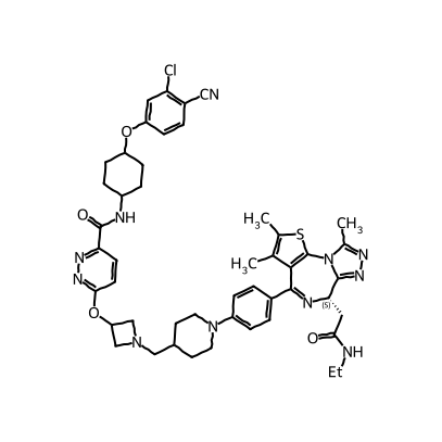 CCNC(=O)C[C@@H]1N=C(c2ccc(N3CCC(CN4CC(Oc5ccc(C(=O)NC6CCC(Oc7ccc(C#N)c(Cl)c7)CC6)nn5)C4)CC3)cc2)c2c(sc(C)c2C)-n2c(C)nnc21